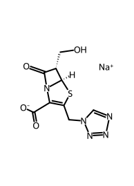 O=C([O-])C1=C(Cn2cnnn2)S[C@@H]2[C@@H](CO)C(=O)N12.[Na+]